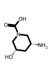 N[C@@H]1C[C@H](O)CN(C(=O)O)C1